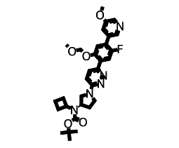 COCOc1cc(-c2cncc(OC)c2)c(F)cc1-c1ccc(N2CC[C@H](N(C(=O)OC(C)(C)C)C3CCC3)C2)nn1